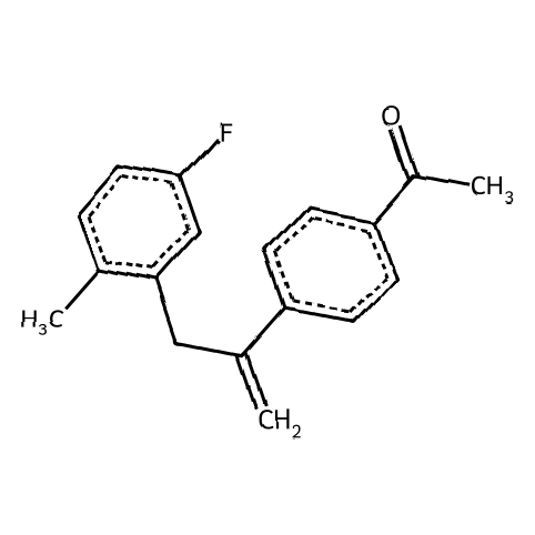 C=C(Cc1cc(F)ccc1C)c1ccc(C(C)=O)cc1